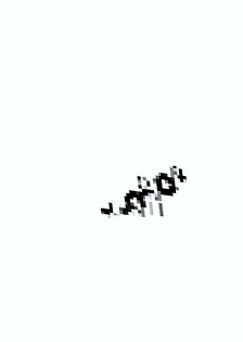 CCOCc1ccc(C(=O)Nc2ccc(N(C)C)cc2)cn1